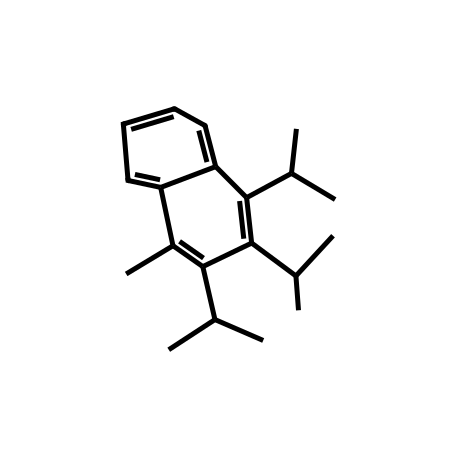 Cc1c(C(C)C)c(C(C)C)c(C(C)C)c2ccccc12